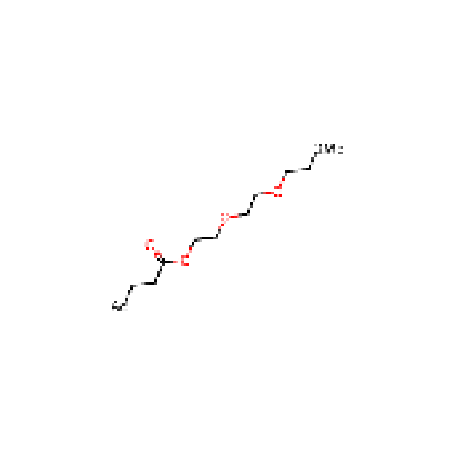 COCCOCCOCCOC(=O)CCC(C)=O